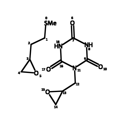 CSCCC1CO1.O=c1[nH]c(=O)n(CC2CO2)c(=O)[nH]1